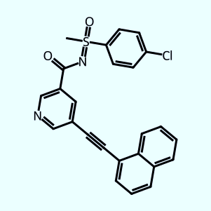 CS(=O)(=NC(=O)c1cncc(C#Cc2cccc3ccccc23)c1)c1ccc(Cl)cc1